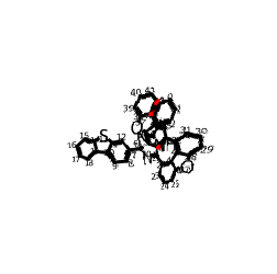 c1ccc(C2N=C(c3ccc4c(c3)sc3ccccc34)N=C(c3cccc4oc5cccc(-c6ccc7oc8ccccc8c7c6)c5c34)N2)cc1